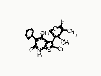 Cc1c(F)ccc(-c2c(Cl)sc3[nH]c(=O)c(-c4ccccc4)c(O)c23)c1O